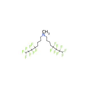 CN(CCCCC(F)(F)C(F)(F)C(F)(F)C(F)F)CCCCC(F)(F)C(F)(F)C(F)(F)C(F)F